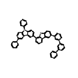 c1ccc(-c2cccc(-c3cccc(-c4ccc5sc6c(-c7ccc8c(c7)c7cc(-c9ccccc9)ccc7n8-c7ccccc7)cccc6c5c4)c3)c2)cc1